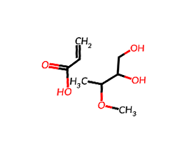 C=CC(=O)O.COC(C)C(O)CO